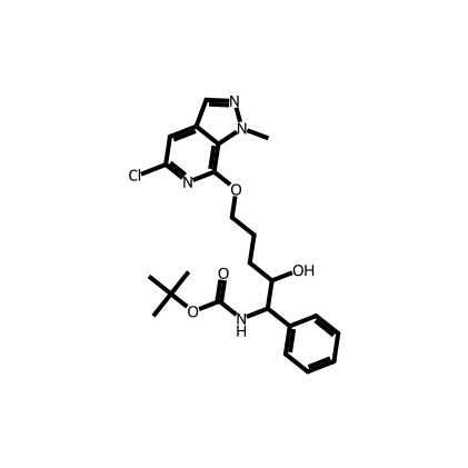 Cn1ncc2cc(Cl)nc(OCCCC(O)C(NC(=O)OC(C)(C)C)c3ccccc3)c21